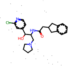 O=C(CC1Cc2ccccc2C1)NC(CN1CCCC1)C(O)c1ccnc(Cl)c1